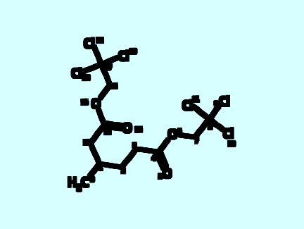 CC(CCC(=O)OCC(Cl)(Cl)Cl)CC(=O)OCC(Cl)(Cl)Cl